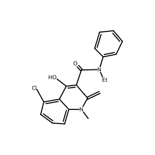 C=C1C(C(=O)N(CC)c2ccccc2)=C(O)c2c(Cl)cccc2N1C